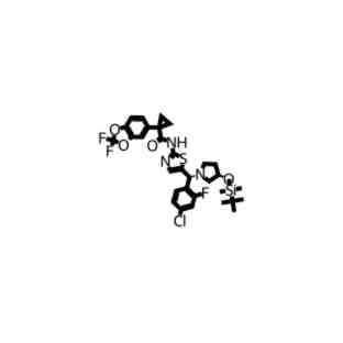 CC(C)(C)[Si](C)(C)O[C@@H]1CCN([C@@H](c2cnc(NC(=O)C3(c4ccc5c(c4)OC(F)(F)O5)CC3)s2)c2ccc(Cl)cc2F)C1